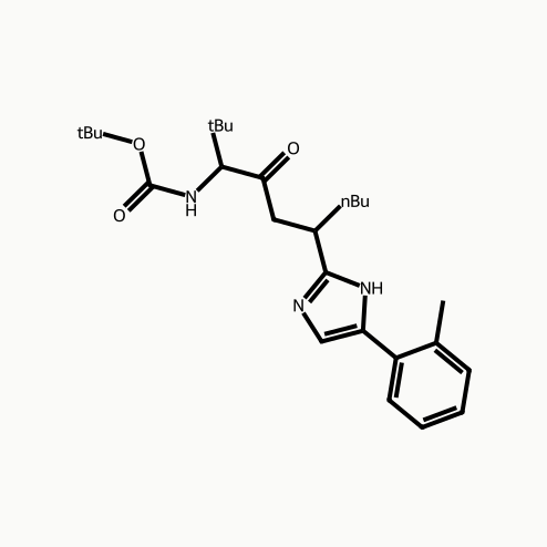 CCCCC(CC(=O)C(NC(=O)OC(C)(C)C)C(C)(C)C)c1ncc(-c2ccccc2C)[nH]1